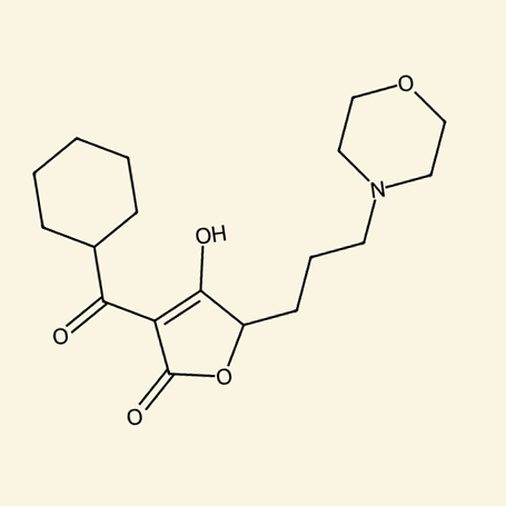 O=C1OC(CCCN2CCOCC2)C(O)=C1C(=O)C1CCCCC1